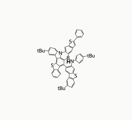 CC(C)(C)c1ccc(Nc2cc3sc4ccc(C(C)(C)C)cc4c3cc2-c2c3c4c(c5cc(C(C)(C)C)ccc5n4-c4cc5sc(-c6ccccc6)cc5cc4B3)c3sc4ccccc4c23)cc1